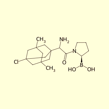 CC12CC3(C)CC(Cl)(C1)CC(C(N)C(=O)N1CCC[C@H]1B(O)O)(C2)C3